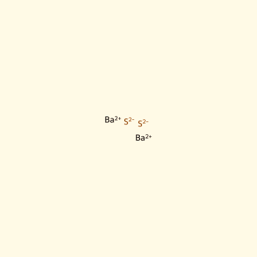 [Ba+2].[Ba+2].[S-2].[S-2]